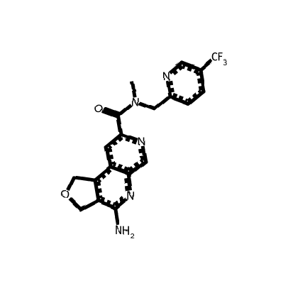 CN(Cc1ccc(C(F)(F)F)cn1)C(=O)c1cc2c3c(c(N)nc2cn1)COC3